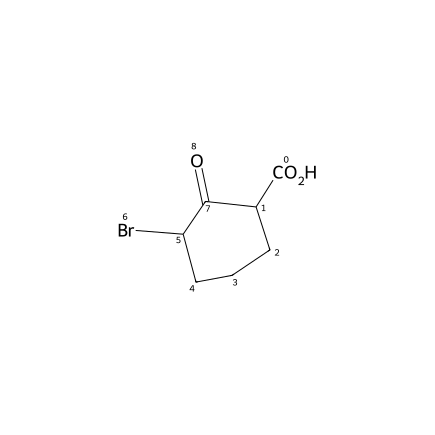 O=C(O)C1CCCC(Br)C1=O